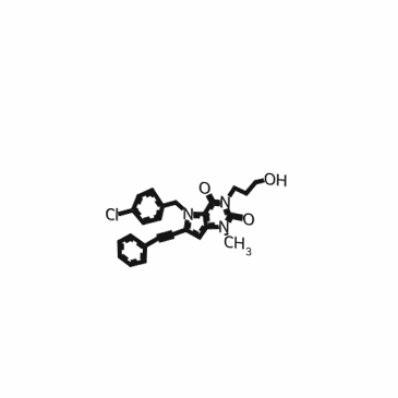 Cn1c(=O)n(CCCO)c(=O)c2c1cc(C#Cc1ccccc1)n2Cc1ccc(Cl)cc1